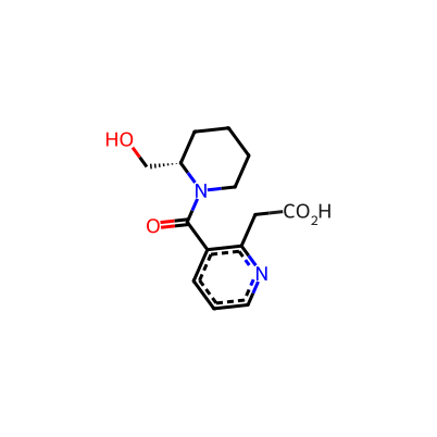 O=C(O)Cc1ncccc1C(=O)N1CCCC[C@H]1CO